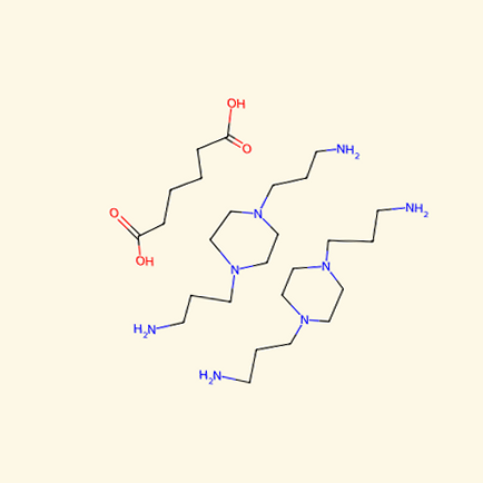 NCCCN1CCN(CCCN)CC1.NCCCN1CCN(CCCN)CC1.O=C(O)CCCCC(=O)O